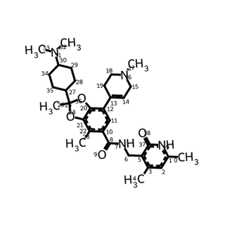 Cc1cc(C)c(CNC(=O)c2cc(C3=CCN(C)CC3)c3c(c2C)OC(C)(C2CCC(N(C)C)CC2)O3)c(=O)[nH]1